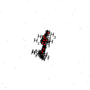 Cc1ncsc1-c1ccc(C(CO)NC(=O)[C@@H]2C[C@@H](O)CN2C(=O)[C@@H](NC(=O)CCCN2CCN(c3ccc(C(=O)N[C@H]4C(C)(C)[C@H](Oc5ccc(C#N)c(Cl)c5)C4(C)C)cn3)CC2)C(C)(C)C)cc1